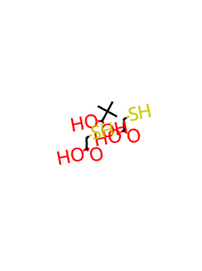 CC(C)(C)C(O)O.O=C(O)CS.O=C(O)CS